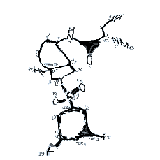 CN[C@@H](CC(C)C)C(=O)NC1CC[C@H]2CN(S(=O)(=O)c3cc(F)cc(F)c3)CC12